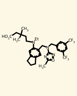 CCN(CCC(C)(C)CC(=O)O)c1cc2c(cc1CN(Cc1cc(C(F)(F)F)cc(C(F)(F)F)c1)c1noc(C)n1)CCC2